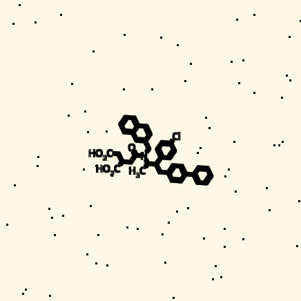 CC(C(Cc1ccc(-c2ccccc2)cc1)c1ccc(Cl)cc1)N(Cc1ccc2ccccc2c1)C(=O)CC(CC(=O)O)C(=O)O